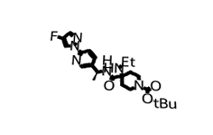 CCNC1(C(=O)N[C@@H](C)c2ccc(-n3cc(F)cn3)nc2)CCN(C(=O)OC(C)(C)C)CC1